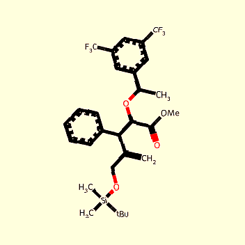 C=C(CO[Si](C)(C)C(C)(C)C)C(c1ccccc1)C(OC(C)c1cc(C(F)(F)F)cc(C(F)(F)F)c1)C(=O)OC